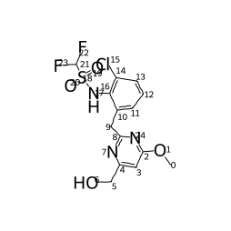 COc1cc(CO)nc(Cc2cccc(Cl)c2NS(=O)(=O)C(F)F)n1